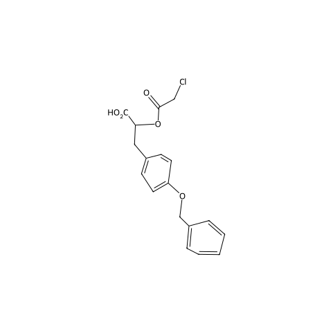 O=C(CCl)OC(Cc1ccc(OCc2ccccc2)cc1)C(=O)O